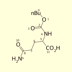 CCCCOC(=O)NC(CCC(N)=O)C(=O)O